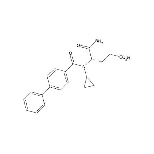 NC(=O)[C@H](CCC(=O)O)N(C(=O)c1ccc(-c2ccccc2)cc1)C1CC1